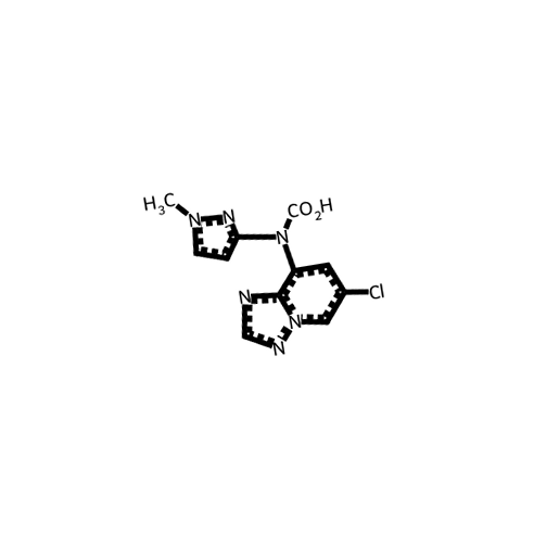 Cn1ccc(N(C(=O)O)c2cc(Cl)cn3ncnc23)n1